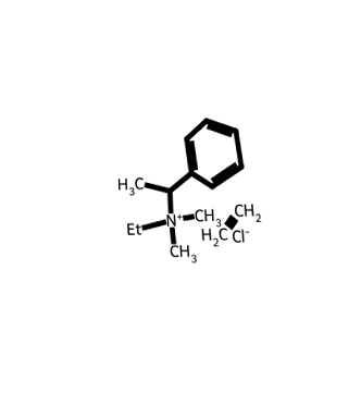 C=C.CC[N+](C)(C)C(C)c1ccccc1.[Cl-]